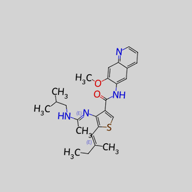 CC/C(C)=C/c1scc(C(=O)Nc2cc3cccnc3cc2OC)c1/N=C(\C)NCC(C)C